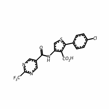 O=C(Nc1csc(-c2ccc(Cl)cc2)c1C(=O)O)c1cnc(C(F)(F)F)nc1